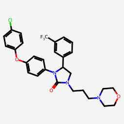 O=C1N(CCCN2CCOCC2)CC(c2cccc(C(F)(F)F)c2)N1c1ccc(Oc2ccc(Cl)cc2)cc1